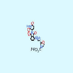 O=C1CCC(N2C(=O)c3cccc(NCC[C@H]4CN(C(=O)O)CCO4)c3C2=O)C(=O)N1